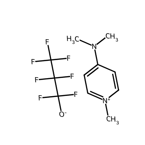 CN(C)c1cc[n+](C)cc1.[O-]C(F)(F)C(F)(F)C(F)(F)F